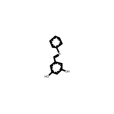 Oc1cc(O)cc(C=Nc2ccccc2)c1